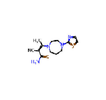 CC(=C(C#N)C(N)=S)N1CCCN(c2nccs2)CC1